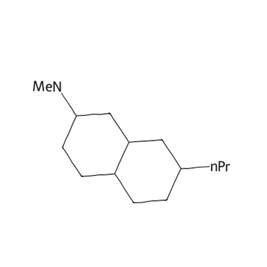 CCCC1CCC2CCC(NC)CC2C1